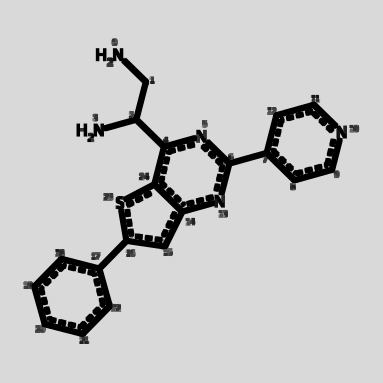 NCC(N)c1nc(-c2ccncc2)nc2cc(-c3ccccc3)sc12